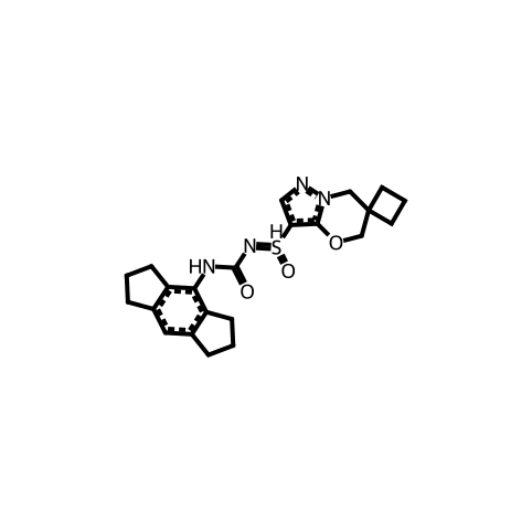 O=C(N=[SH](=O)c1cnn2c1OCC1(CCC1)C2)Nc1c2c(cc3c1CCC3)CCC2